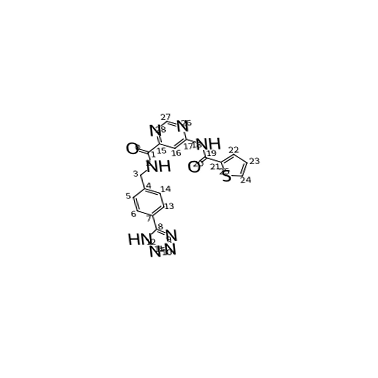 O=C(NCc1ccc(-c2nnn[nH]2)cc1)c1cc(NC(=O)c2cccs2)ncn1